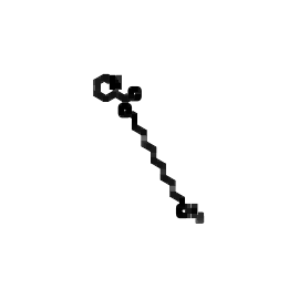 CCCCCCCCCCCCOC(=O)C1CC=CC=N1